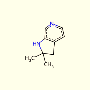 CC1(C)Cc2ccncc2N1